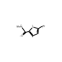 CNC(=O)c1ccc(C(C)C)s1